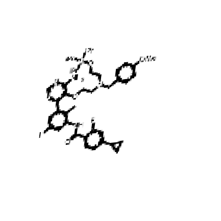 COc1ccc(CN(CCOc2c(N)ncnc2-c2cc(F)cc(NC(=O)c3ccc(C4CC4)cc3F)c2C)CCO[Si](C(C)C)(C(C)C)C(C)C)cc1